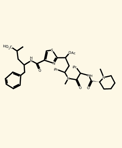 CC(=O)OC(CC(C(C)C)N(C)C(=O)C(NC(=O)[C@H]1CCCCN1C)C(C)C)c1nc(C(=O)NC(Cc2ccccc2)CC(C)C(=O)O)cs1